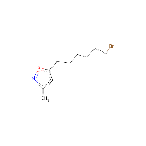 Cc1cc(CCCCCCBr)on1